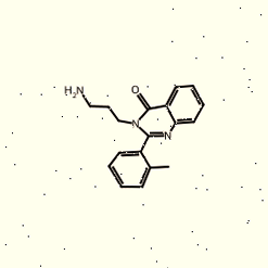 Cc1ccccc1-c1nc2ccccc2c(=O)n1CCCN